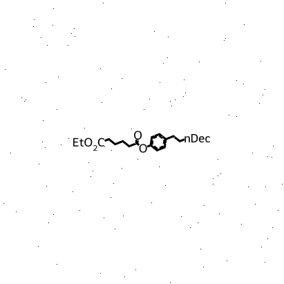 CCCCCCCCCCCCc1ccc(OC(=O)CCCCC(=O)OCC)cc1